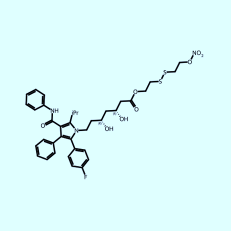 CC(C)c1c(C(=O)Nc2ccccc2)c(-c2ccccc2)c(-c2ccc(F)cc2)n1CC[C@@H](O)C[C@@H](O)CC(=O)OCCSSCCO[N+](=O)[O-]